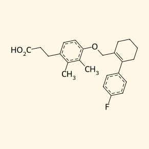 Cc1c(CCC(=O)O)ccc(OCC2=C(c3ccc(F)cc3)CCCC2)c1C